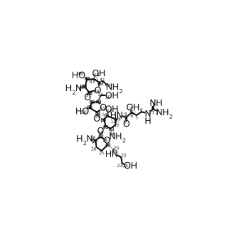 N=C(N)NCC[C@H](O)C(=O)N[C@@H]1C[C@H](N)[C@@H](O[C@H]2O[C@H](CNCCO)CC[C@H]2N)[C@H](O[C@@H]2O[C@H](CO)[C@@H](O[C@H]3O[C@@H](CN)[C@@H](O)[C@H](O)[C@H]3N)[C@H]2O)[C@H]1O